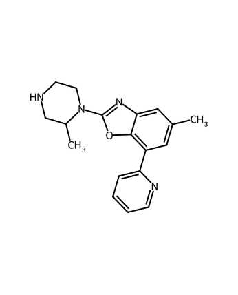 Cc1cc(-c2ccccn2)c2oc(N3CCNCC3C)nc2c1